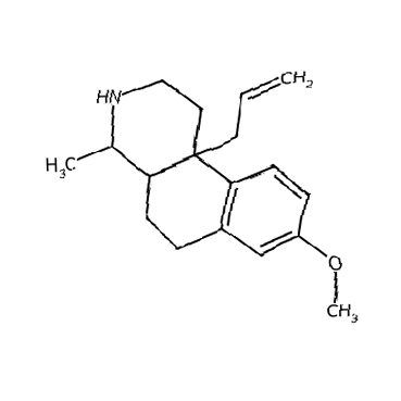 C=CCC12CCNC(C)C1CCc1cc(OC)ccc12